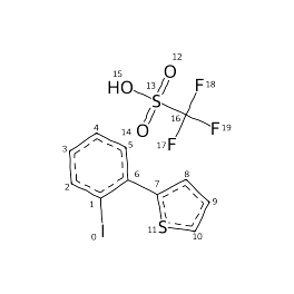 Ic1ccccc1-c1cccs1.O=S(=O)(O)C(F)(F)F